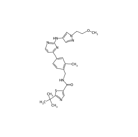 COCCn1cc(Nc2nccc(-c3ccc(CNC(=O)c4cnc(C(C)(C)C)s4)c(C)c3)n2)cn1